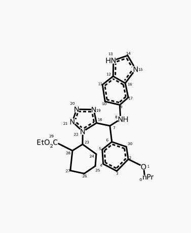 CCCOc1cccc(C(Nc2ccc3[nH]cnc3c2)c2nnnn2C2CCCCC2C(=O)OCC)c1